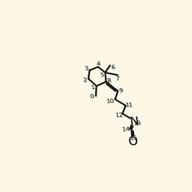 CC1CCCC(C)(C)C1=CCCCN=C=O